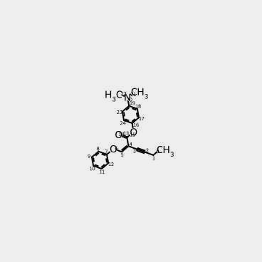 CCC#CC(=COc1ccccc1)C(=O)Oc1ccc(N(C)C)cc1